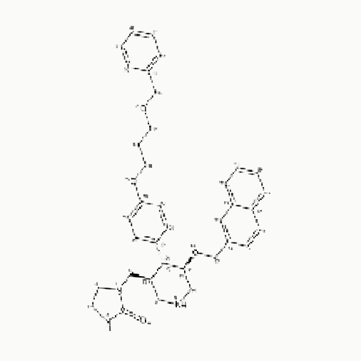 O=C1NCCN1C[C@@H]1CNC[C@H](OCc2ccc3ccccc3c2)[C@H]1c1ccc(OCCCOCc2ccccc2)cc1